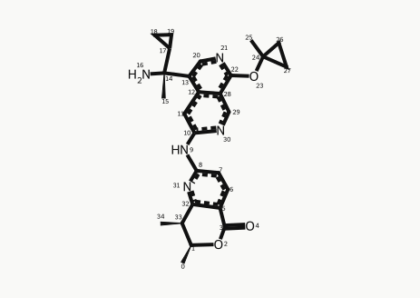 C[C@@H]1OC(=O)c2ccc(Nc3cc4c([C@](C)(N)C5CC5)cnc(OC5(C)CC5)c4cn3)nc2[C@@H]1C